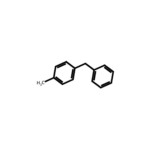 Cc1c[c]c(Cc2ccccc2)cc1